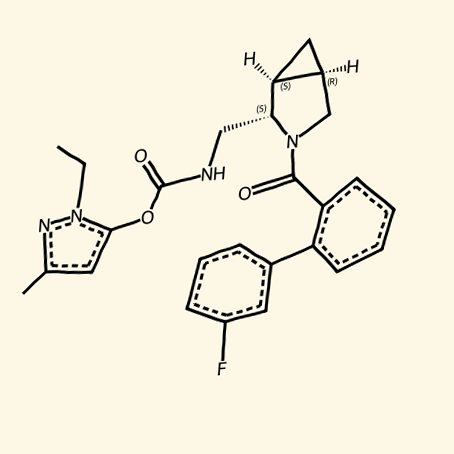 CCn1nc(C)cc1OC(=O)NC[C@@H]1[C@H]2C[C@H]2CN1C(=O)c1ccccc1-c1cccc(F)c1